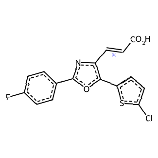 O=C(O)/C=C/c1nc(-c2ccc(F)cc2)oc1-c1ccc(Cl)s1